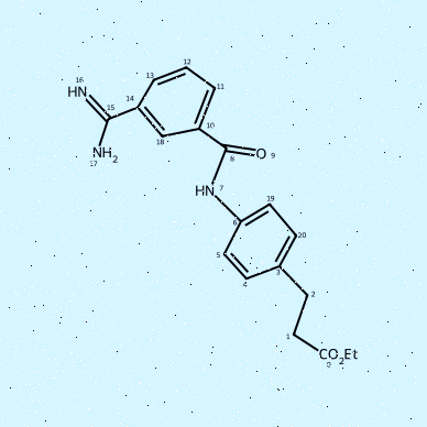 CCOC(=O)CCc1ccc(NC(=O)c2cccc(C(=N)N)c2)cc1